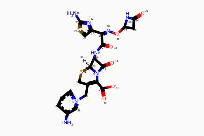 Nc1ccc[n+](CC2=C(C(=O)[O-])N3C(=O)C(NC(=O)/C(=N\OC4CC(=O)N4)c4csc(N)n4)[C@@H]3SC2)c1